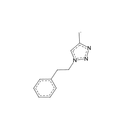 [CH2]c1cn(CCc2ccccc2)nn1